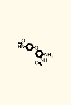 CC(=O)Nc1ccc(Oc2ccc(NC(C)=O)c(N)c2)cc1